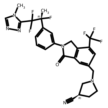 Cn1cnnc1C(F)(F)[C@](C)(F)c1cccc(N2Cc3c(cc(CN4CC[C@@H](C#N)C4)cc3C(F)(F)F)C2=O)c1